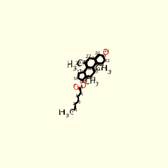 CCCCCCC(=O)O[C@H]1CCC2C3C(CC[C@@]21C)[C@@]1(C)CCC(=O)C=C1C[C@H]3C